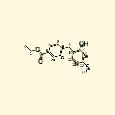 CCOC(=O)c1ccc(Cc2cnc(SC)nc2O)cc1